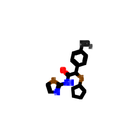 O=C(Nc1nccs1)C(SC1CCCC1)c1ccc([N+](=O)[O-])cc1